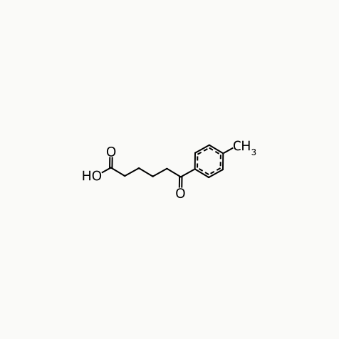 Cc1ccc(C(=O)CCCCC(=O)O)cc1